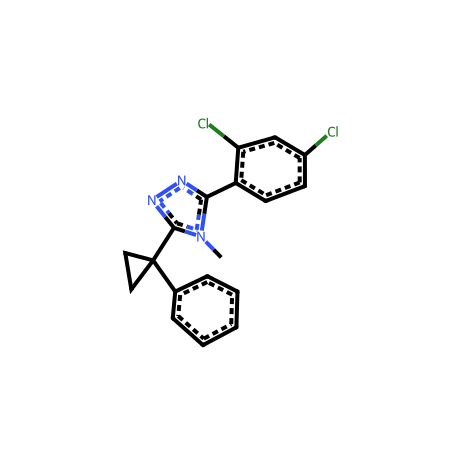 Cn1c(-c2ccc(Cl)cc2Cl)nnc1C1(c2ccccc2)CC1